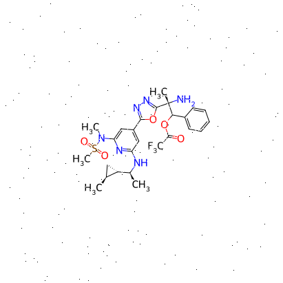 C[C@H](Nc1cc(-c2nnc([C@](C)(N)C(OC(=O)C(F)(F)F)c3ccccc3)o2)cc(N(C)S(C)(=O)=O)n1)[C@H]1C[C@@H]1C